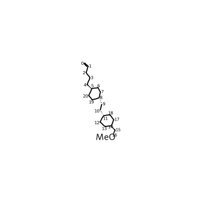 C=CCCC[C@H]1CC[C@H](CC[C@H]2CC[C@H](COC)CC2)CC1